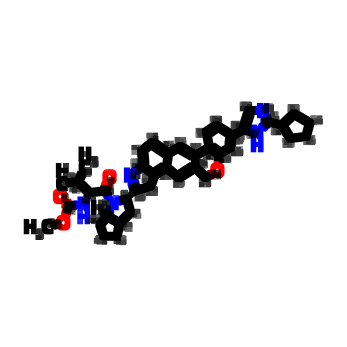 COC(=O)N[C@H](C(=O)N1[C@H](C2=Nc3ccc4cc5c(cc4c3C2)COc2cc(-c3cnc(C4CCCC4)[nH]3)ccc2-5)CC2CCC[C@@H]21)C(C)C